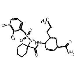 CCCC1CC(C(N)=O)C=CC1NC(=O)C1(NS(=O)(=O)c2cccc(Cl)c2Cl)CCCCC1